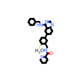 CN(Cc1cc(-c2ccc3ncnc(NCc4ccccc4)c3c2)ccc1F)C(=O)c1ccccn1